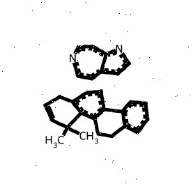 CC1(C)C=CCc2ccc3c(c21)CCc1ccccc1-3.c1cc2ccnc-2ccn1